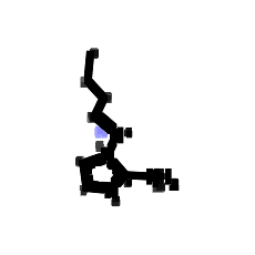 CCC/C=N/n1ccnc1N